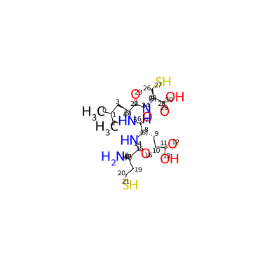 CC(C)C[C@H](NC(=O)[C@H](CCC(=O)O)NC(=O)[C@H](N)CCS)C(=O)N[C@@H](CS)C(=O)O